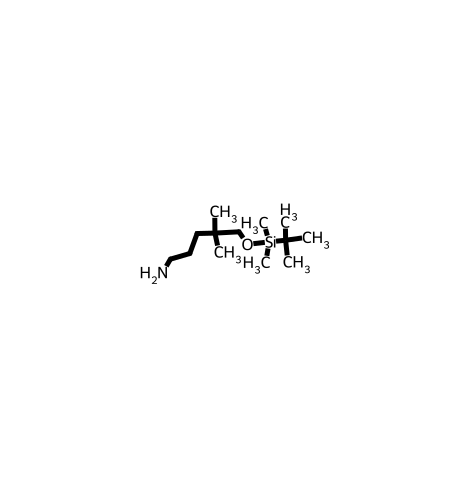 CC(C)(CCCN)CO[Si](C)(C)C(C)(C)C